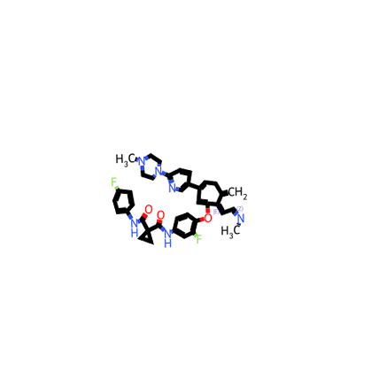 C=C1CC=C(c2ccc(N3CCN(C)CC3)nc2)C=C(Oc2ccc(NC(=O)C3(C(=O)Nc4ccc(F)cc4)CC3)cc2F)/C1=C/C=N\C